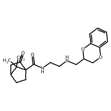 CC1(C)C2CCC1(C(=O)NCCNCC1COc3ccccc3O1)C(=O)C2